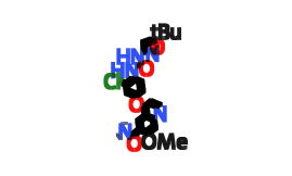 COc1cc2nccc(Oc3ccc(NC(=O)Nc4cc(C(C)(C)C)on4)c(Cl)c3)c2cc1C(=O)N(C)C